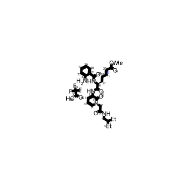 CCC(CC)CNC(=O)Cn1cccc(NC(=O)[C@H](CC/C=C/C(=O)OC)NC(=O)c2ccccc2N)c1=O.O=C(O)C(F)(F)F